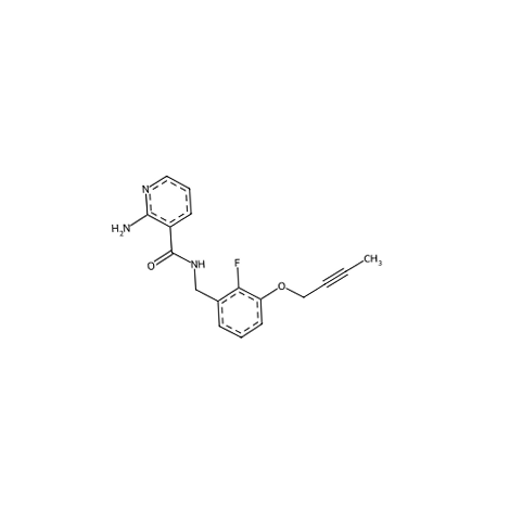 CC#CCOc1cccc(CNC(=O)c2cccnc2N)c1F